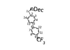 CCCCCCCCCCCc1ccc(-c2ccc(C(F)(F)F)cc2)cc1